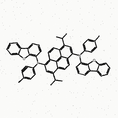 Cc1c#cc(N(c2cc(C(C)C)c3ccc4c(N(c5ccc(C)cc5)c5cccc6c5oc5ccccc56)cc(C(C)C)c5ccc2c3c54)c2cccc3c2oc2ccccc23)cc1